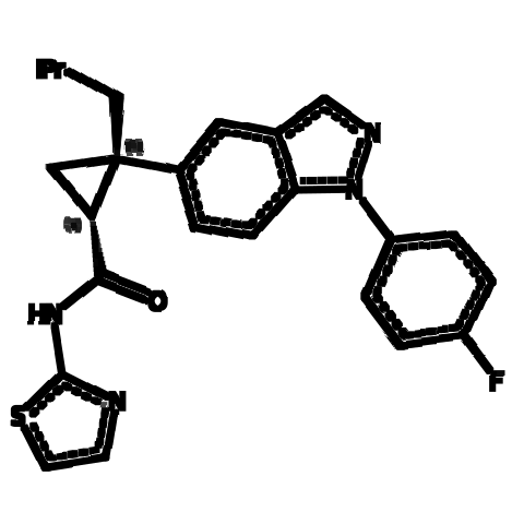 CC(C)C[C@]1(c2ccc3c(cnn3-c3ccc(F)cc3)c2)C[C@H]1C(=O)Nc1nccs1